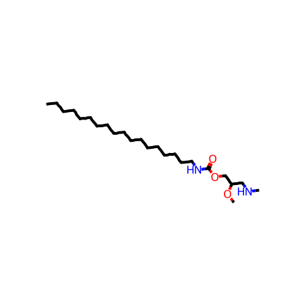 CCCCCCCCCCCCCCCCCCNC(=O)OCC(CNC)OC